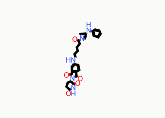 O=C1CCC(N2C(=O)c3ccc(NCCCCCC(=O)N4CC(Nc5ccccc5)C4)cc3C2=O)C(=O)N1